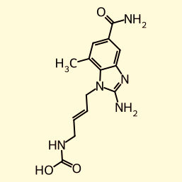 Cc1cc(C(N)=O)cc2nc(N)n(CC=CCNC(=O)O)c12